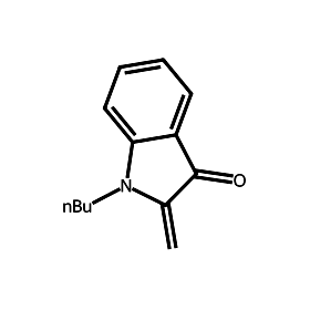 C=C1C(=O)c2ccccc2N1CCCC